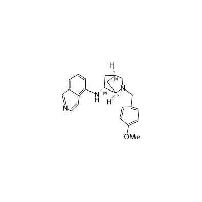 COc1ccc(CN2C[C@H]3C[C@@H]2[C@H](Nc2cccc4cnccc24)C3)cc1